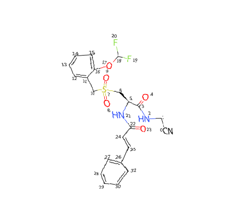 N#CCNC(=O)[C@H](CS(=O)(=O)Cc1ccccc1OC(F)F)NC(=O)C=Cc1ccccc1